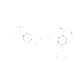 C=Nc1c(/N=C\C)cc(N2CCOCC2)cc1O[C@H]1CC[C@@H](Nc2ncc([C@@H](O)C(F)(F)F)cn2)CC1